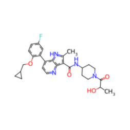 Cc1[nH]c2c(-c3cc(F)ccc3OCC3CC3)ccnc2c1C(=O)NC1CCN(C(=O)C(C)O)CC1